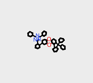 c1ccc(-c2nc(-c3ccccc3)nc(-c3ccccc3-c3ccc4c(c3)Oc3c(ccc5c3-c3ccccc3C5(c3ccccc3)c3ccccc3)O4)n2)cc1